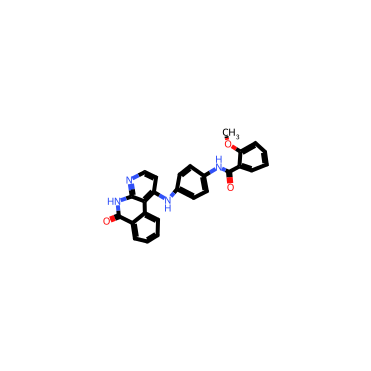 COc1ccccc1C(=O)Nc1ccc(Nc2ccnc3[nH]c(=O)c4ccccc4c23)cc1